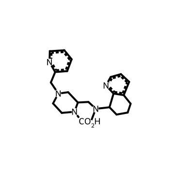 CN(CC1CN(Cc2ccccn2)CCN1C(=O)O)C1CCCc2cccnc21